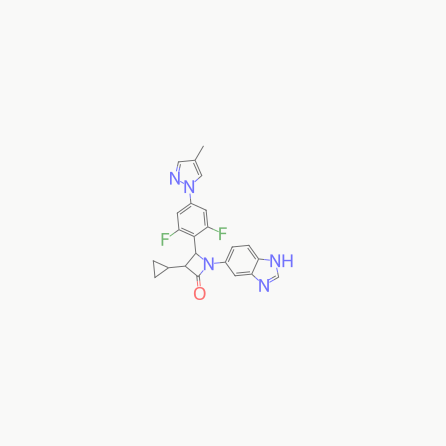 Cc1cnn(-c2cc(F)c(C3C(C4CC4)C(=O)N3c3ccc4[nH]cnc4c3)c(F)c2)c1